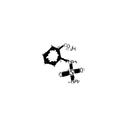 CCCS(=O)(=O)Nc1ccccc1C(=O)O